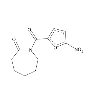 O=C1CCCCCN1C(=O)c1ccc([N+](=O)[O-])o1